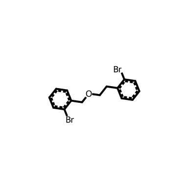 Brc1ccccc1CCOCc1ccccc1Br